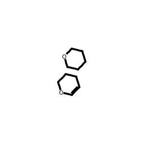 C1=COCCC1.C1CCOCC1